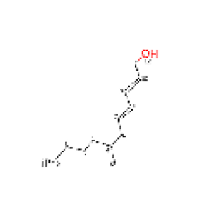 CC(C)CCCC(C)C/C=C/C=C/CO